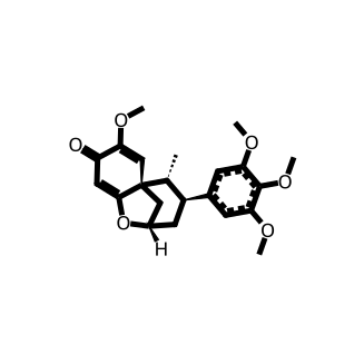 COC1=C[C@]23C[C@H](C[C@H](c4cc(OC)c(OC)c(OC)c4)[C@H]2C)OC3=CC1=O